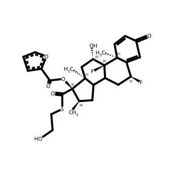 C[C@@H]1CC2C3C[C@H](F)C4=CC(=O)C=C[C@]4(C)[C@@]3(F)[C@@H](O)C[C@]2(C)[C@@]1(OC(=O)c1ccco1)C(=O)SCCO